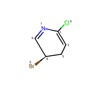 ClC1=CC[C@@H](Br)C=N1